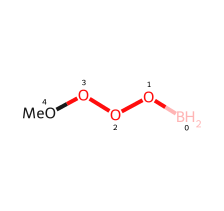 BOOOOC